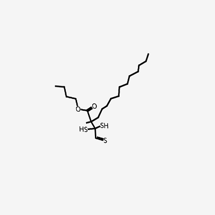 CCCCCCCCCCCCC(C)(C(=O)OCCCC)C(S)(S)C=S